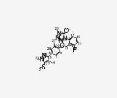 CSc1c(C)c(-c2ccc(OCc3c(F)cccc3-n3nnn(C)c3=O)c(C)c2)nn1C